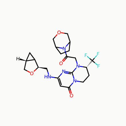 O=C(CN1c2nc(NC[C@H]3OC[C@@H]4CC43)cc(=O)n2CC[C@H]1C(F)(F)F)N1C2CCC1COC2